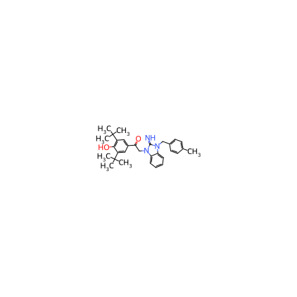 Cc1ccc(Cn2c(=N)n(CC(=O)c3cc(C(C)(C)C)c(O)c(C(C)(C)C)c3)c3ccccc32)cc1